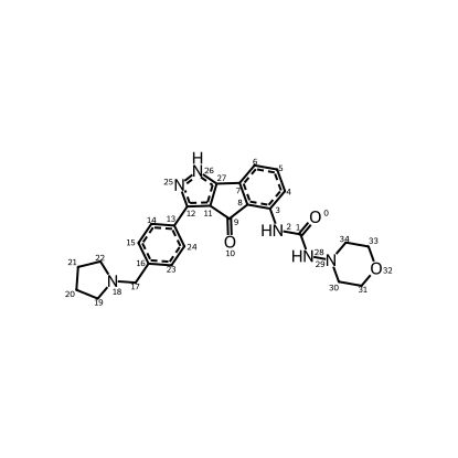 O=C(Nc1cccc2c1C(=O)c1c(-c3ccc(CN4CCCC4)cc3)n[nH]c1-2)NN1CCOCC1